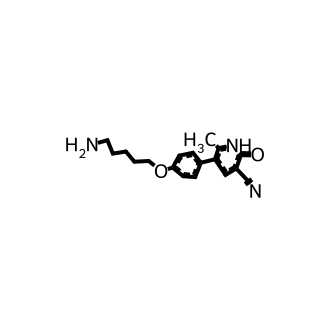 Cc1[nH]c(=O)c(C#N)cc1-c1ccc(OCCCCCN)cc1